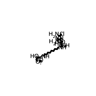 C[C@@H]1OC[C@@H](O)[C@H](CNCCCCCCCCCNC(=N)NC(=O)c2nc(Cl)c(N)nc2N)O1